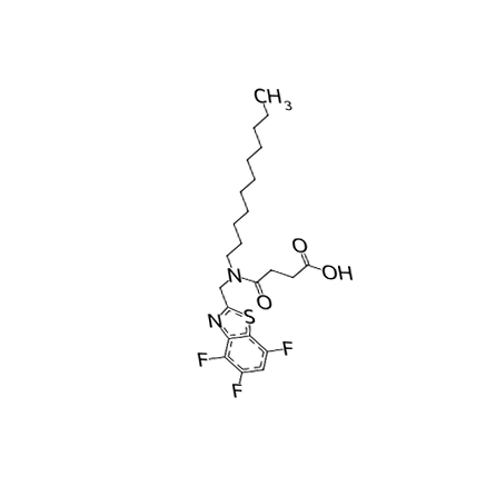 CCCCCCCCCCCN(Cc1nc2c(F)c(F)cc(F)c2s1)C(=O)CCC(=O)O